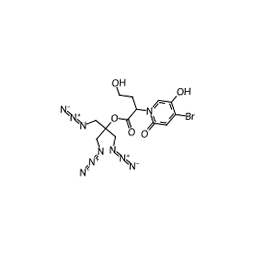 [N-]=[N+]=NCC(CN=[N+]=[N-])(CN=[N+]=[N-])OC(=O)C(CCO)n1cc(O)c(Br)cc1=O